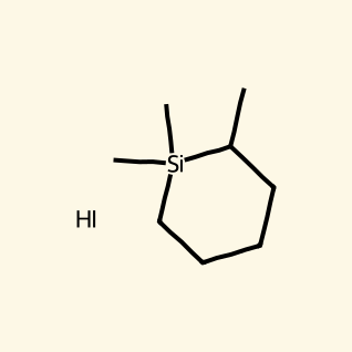 CC1CCCC[Si]1(C)C.I